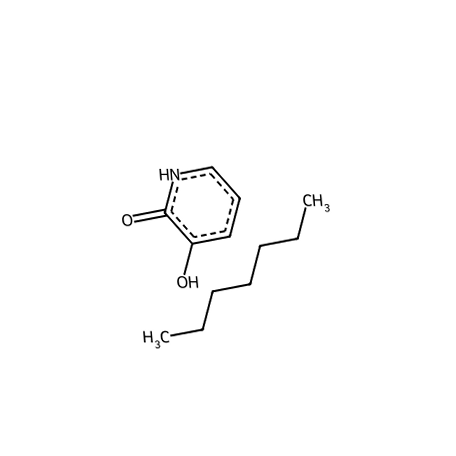 CCCCCCC.O=c1[nH]cccc1O